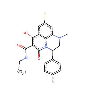 Cc1ccc(C2CN(C)c3cc(F)cc4c(O)c(C(=O)NCC(=O)O)c(=O)n2c34)cc1